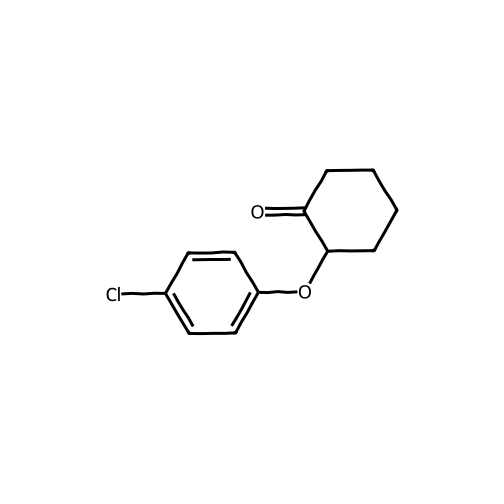 O=C1CCCCC1Oc1ccc(Cl)cc1